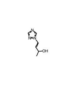 CC(O)C=Cn1cncn1